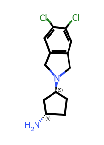 N[C@H]1CC[C@H](N2Cc3cc(Cl)c(Cl)cc3C2)C1